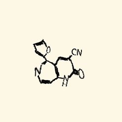 N#Cc1cc2c(-c3ccco3)nccc2[nH]c1=O